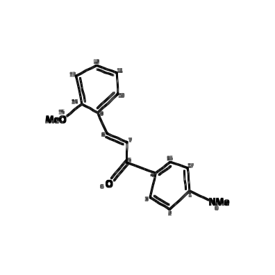 CNc1ccc(C(=O)C=Cc2ccccc2OC)cc1